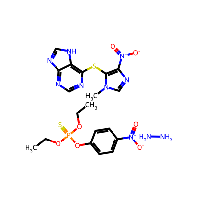 CCOP(=S)(OCC)Oc1ccc([N+](=O)[O-])cc1.Cn1cnc([N+](=O)[O-])c1Sc1ncnc2nc[nH]c12.NN